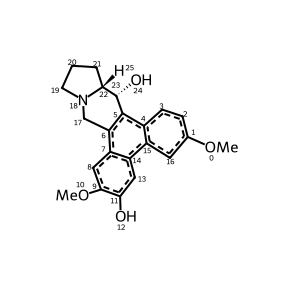 COc1ccc2c3c(c4cc(OC)c(O)cc4c2c1)CN1CCC[C@@H]1[C@@H]3O